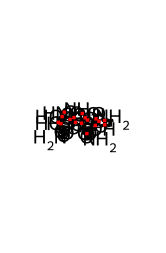 CC(=O)NC1[C@H](O[C@@H]2C(C(=O)ON)O[C@@H](O[C@@H]3C(COS(=O)(=O)ON)O[C@@H](O[C@H]4C(C(=O)ON)O[C@@H](Oc5ccc(C)cc5)C(O)[C@@H]4O)C(NC(C)=O)[C@H]3O)C(O)[C@@H]2O)OC(COS(=O)(=O)ON)[C@@H](O)[C@@H]1O